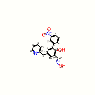 O=[N+]([O-])c1cccc(-c2cc(Cc3ccccn3)cc(/C=N/O)c2O)c1